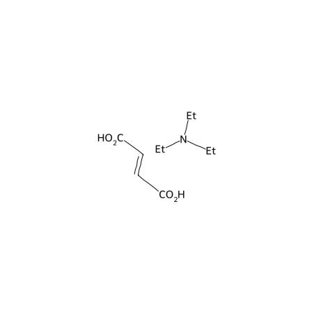 CCN(CC)CC.O=C(O)C=CC(=O)O